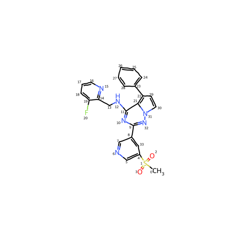 CS(=O)(=O)c1cncc(-c2nc(NCc3ncccc3F)c3c(-c4ccccc4)ccn3n2)c1